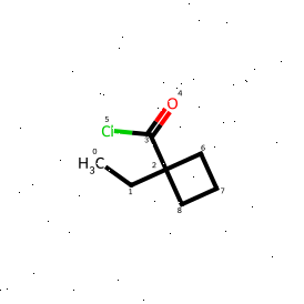 CCC1(C(=O)Cl)CCC1